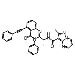 Cc1nn2cccnc2c1C(=O)N[C@H](C)c1nc2cccc(C#Cc3ccccc3)c2c(=O)n1-c1ccccc1